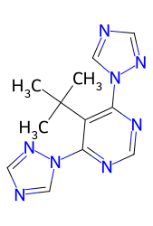 CC(C)(C)c1c(-n2cncn2)ncnc1-n1cncn1